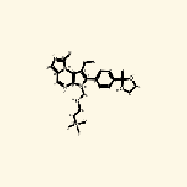 CCc1c(-c2ccc(C3(C)OCCO3)cc2)n(COCC[Si](C)(C)C)c2ncc3cnc(C)n3c12